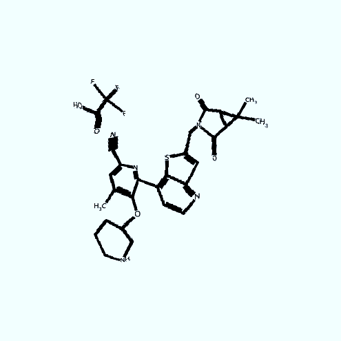 Cc1cc(C#N)nc(-c2ccnc3cc(CN4C(=O)C5C(C4=O)C5(C)C)sc23)c1OC1CCCNC1.O=C(O)C(F)(F)F